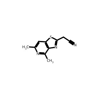 Cc1cc2sc(CC#N)nc2c(C)n1